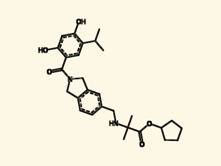 CC(C)c1cc(C(=O)N2Cc3ccc(CNC(C)(C)C(=O)OC4CCCC4)cc3C2)c(O)cc1O